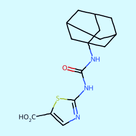 O=C(Nc1ncc(C(=O)O)s1)NC12CC3CC(CC(C3)C1)C2